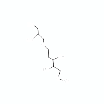 CCCOCC(O)C(O)CCOCC(O)CO